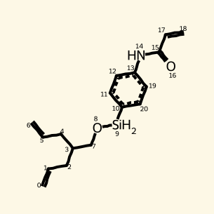 C=CCC(CC=C)CO[SiH2]c1ccc(NC(=O)C=C)cc1